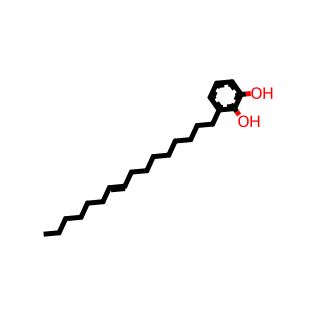 CCCCCCC=CCCCCCCCCc1cccc(O)c1O